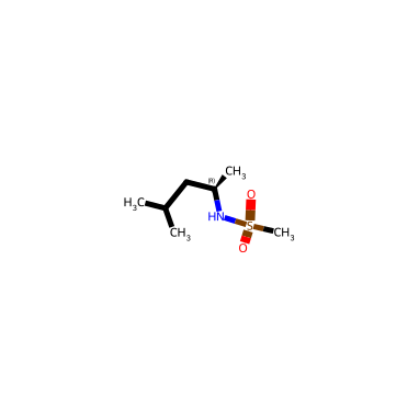 CC(C)C[C@@H](C)NS(C)(=O)=O